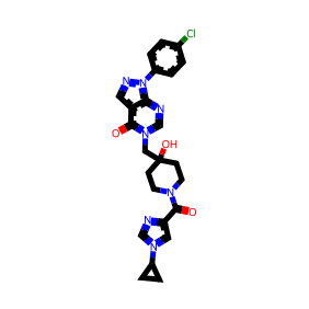 O=C(c1cn(C2CC2)cn1)N1CCC(O)(Cn2cnc3c(cnn3-c3ccc(Cl)cc3)c2=O)CC1